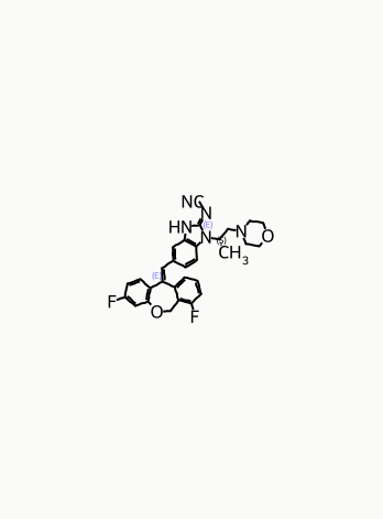 C[C@@H](CN1CCOCC1)n1/c(=N/C#N)[nH]c2cc(/C=C3/c4ccc(F)cc4OCc4c(F)cccc43)ccc21